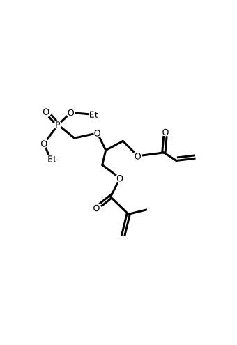 C=CC(=O)OCC(COC(=O)C(=C)C)OCP(=O)(OCC)OCC